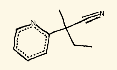 CCC(C)(C#N)c1ccccn1